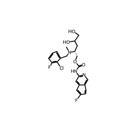 CN(Cc1cccc(F)c1Cl)[C@@H](COC(=O)Nc1cc2cc(F)ccc2cn1)CC(O)CO